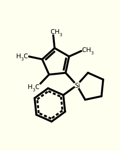 CC1=C(C)C(C)C([Si]2(c3ccccc3)CCCC2)=C1C